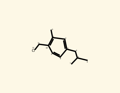 Cc1cc(CC(C)C)ccc1CCl